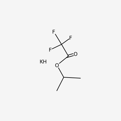 CC(C)OC(=O)C(F)(F)F.[KH]